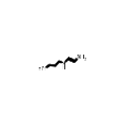 CCCCCCNC=CN